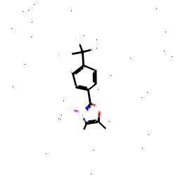 Cc1oc(-c2ccc(C(C)(C)C)cc2)[n+]([O-])c1C